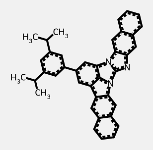 CC(C)c1cc(-c2cc3c4cc5ccccc5cc4n4c3c(c2)n2c3cc5ccccc5cc3nc24)cc(C(C)C)c1